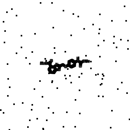 COC(=O)Nc1ccc(OCc2nc3c(C(=O)OC)cccc3o2)cc1